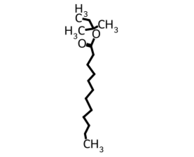 CCCCCCCCCCCC(=O)OC(C)(C)CC